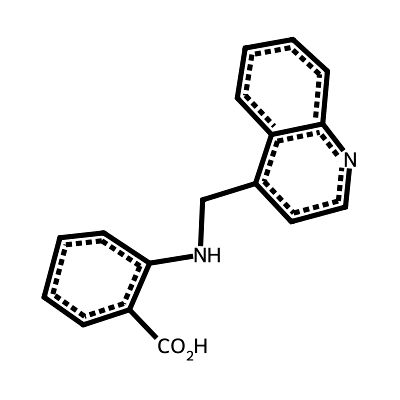 O=C(O)c1ccccc1NCc1ccnc2ccccc12